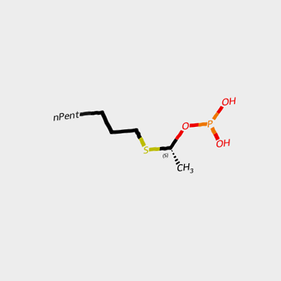 CCCCCCCCS[C@@H](C)OP(O)O